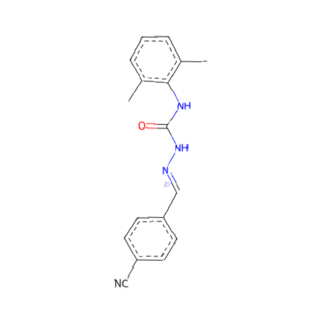 Cc1cccc(C)c1NC(=O)N/N=C/c1ccc(C#N)cc1